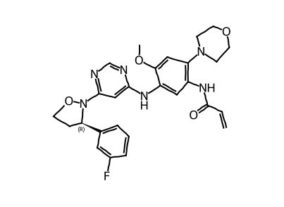 C=CC(=O)Nc1cc(Nc2cc(N3OCC[C@@H]3c3cccc(F)c3)ncn2)c(OC)cc1N1CCOCC1